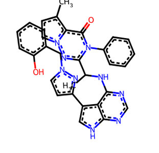 Cc1ccn2nc(C(C)Nc3ncnc4[nH]cc(-c5ccn(Cc6ccccc6O)n5)c34)n(-c3ccccc3)c(=O)c12